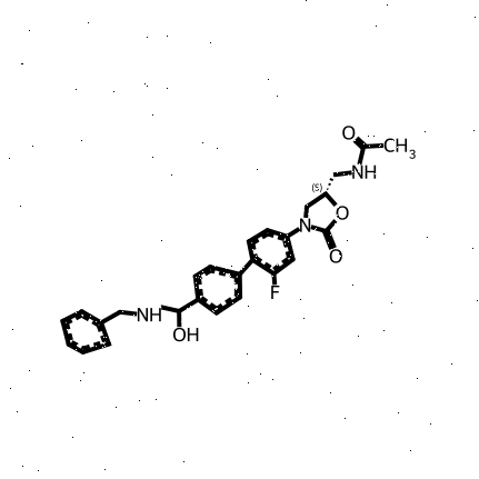 CC(=O)NC[C@H]1CN(c2ccc(-c3ccc(C(O)CNCc4ccccc4)cc3)c(F)c2)C(=O)O1